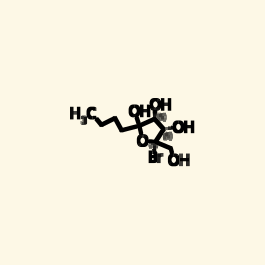 CCCCC1(O)O[C@](Br)(CO)[C@@H](O)[C@@H]1O